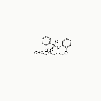 O=CCOCC1COc2ccccc2N1S(=O)(=O)c1ccccc1C(F)(F)F